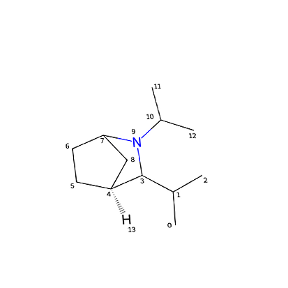 CC(C)C1[C@H]2CCC(C2)N1C(C)C